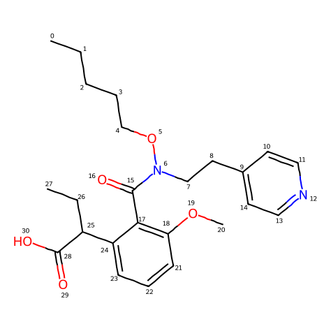 CCCCCON(CCc1ccncc1)C(=O)c1c(OC)cccc1C(CC)C(=O)O